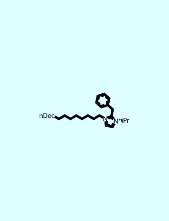 CCCCCCCCCCCCCCCCCCn1cc[n+](C(C)C)c1Cc1ccccc1